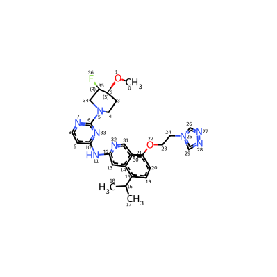 CO[C@H]1CCN(c2nccc(Nc3cc4c(C(C)C)ccc(OCCn5cnnc5)c4cn3)n2)C[C@H]1F